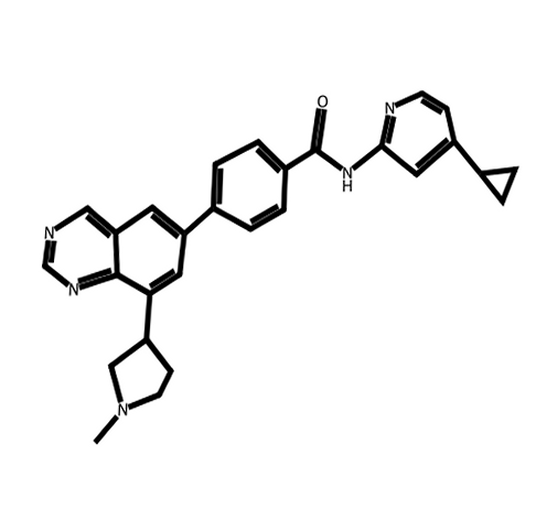 CN1CCC(c2cc(-c3ccc(C(=O)Nc4cc(C5CC5)ccn4)cc3)cc3cncnc23)C1